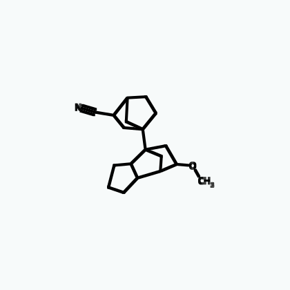 COC1CC2(C34CCC(C3)C(C#N)C4)CC1C1CCCC12